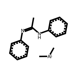 CC(=Nc1ccccc1)Nc1ccccc1.[CH3][Al][CH3]